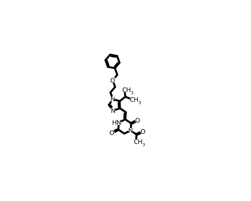 CC(=O)N1CC(=O)NC(=Cc2ncn(CCOCc3ccccc3)c2C(C)C)C1=O